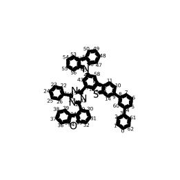 c1ccc(-c2cccc(-c3ccc4c(c3)sc3c(-c5nc(-c6ccccc6)nc(-c6cccc7oc8ccccc8c67)n5)cc(-n5c6ccccc6c6ccccc65)cc34)c2)cc1